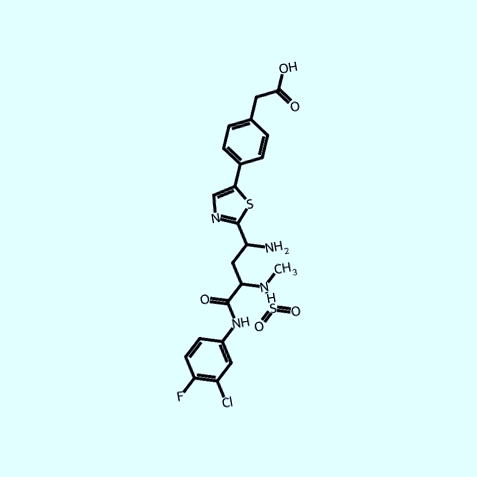 CN(C(CC(N)c1ncc(-c2ccc(CC(=O)O)cc2)s1)C(=O)Nc1ccc(F)c(Cl)c1)[SH](=O)=O